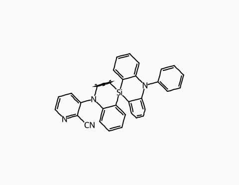 N#Cc1ncccc1N1c2ccccc2[Si]2(c3ccccc3N(c3ccccc3)c3ccccc32)c2ccccc21